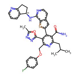 Cc1nnc(-c2c(COc3ccc(F)cc3)nc(CC(C)C)c(C(N)=O)c2-c2cc3ccnc(N[C@@H]4CCc5ncccc54)c3s2)o1